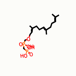 CC(C)=CCCC(C)=CCCC(C)=CCOCP(=O)(O)CP(=O)(O)O